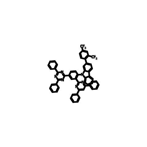 FC(F)(F)c1ccc(-c2ccc3c4ccccc4n(-c4ccc(-c5nc(-c6ccccc6)nc(-c6ccccc6)n5)cc4-c4nc(-c5ccccc5)cc(-c5ccccc5)n4)c3c2)c(C(F)(F)F)c1